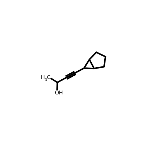 CC(O)C#CC1C2CCCC12